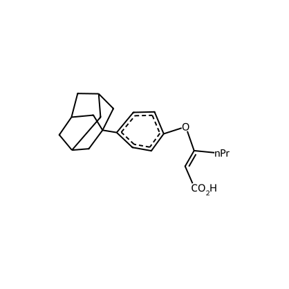 CCCC(=CC(=O)O)Oc1ccc(C23CC4CC(CC(C4)C2)C3)cc1